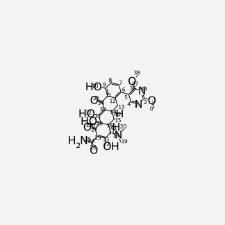 COc1ncc(-c2ccc(O)c3c2C[C@H]2C[C@H]4[C@@H](N(C)C)C(O)=C(C(N)=O)C(=O)[C@]4(O)C(O)=C2C3=O)c(OC)n1